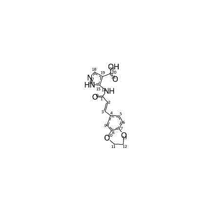 O=C(/C=C/c1ccc2c(c1)OCCO2)Nc1[nH]ncc1C(=O)O